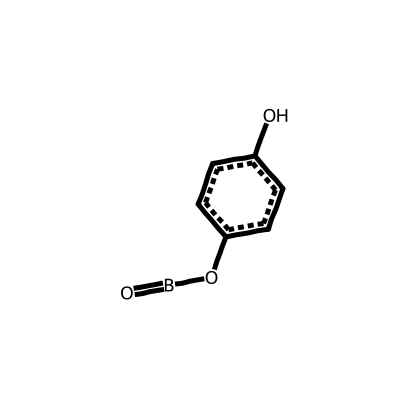 O=BOc1ccc(O)cc1